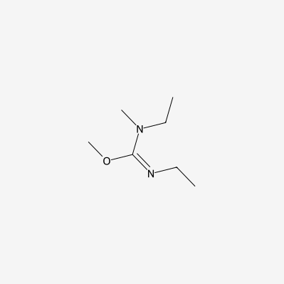 CC/N=C(/OC)N(C)CC